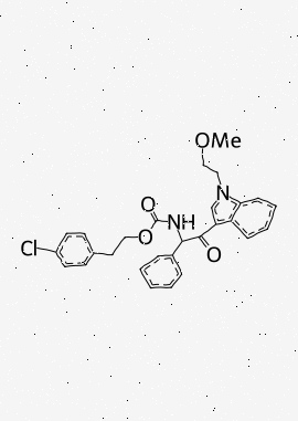 COCCn1cc(C(=O)C(NC(=O)OCCc2ccc(Cl)cc2)c2ccccc2)c2ccccc21